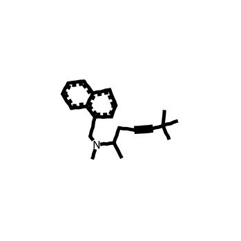 CC(CC#CC(C)(C)C)N(C)Cc1cccc2ccccc12